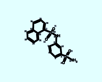 NS(=O)(=O)c1cccc(NS(=O)(=O)c2cccc3ccccc23)c1